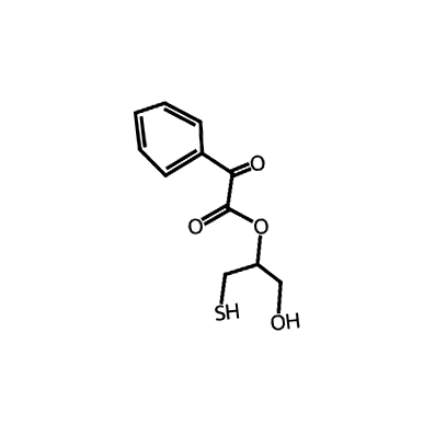 O=C(OC(CO)CS)C(=O)c1ccccc1